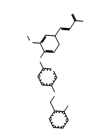 COC1=CC(/C=C/C(=O)O)CC=C1Oc1ccc(OCc2ccccc2Cl)cn1